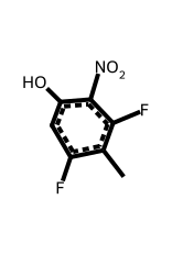 Cc1c(F)cc(O)c([N+](=O)[O-])c1F